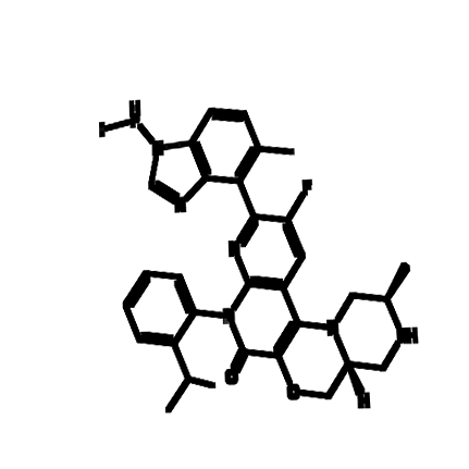 Cc1ccc2c(ncn2PI)c1-c1nc2c(cc1F)c1c(c(=O)n2-c2ccccc2C(C)C)OC[C@H]2CN[C@H](C)CN12